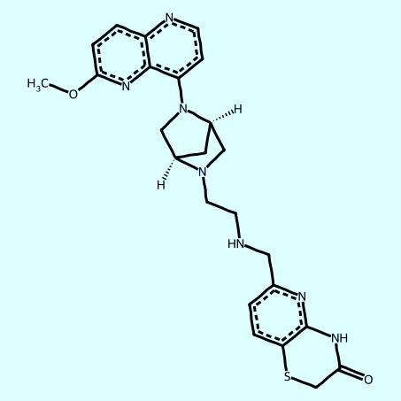 COc1ccc2nccc(N3C[C@H]4C[C@@H]3CN4CCNCc3ccc4c(n3)NC(=O)CS4)c2n1